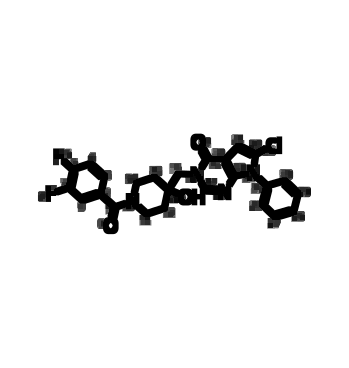 O=C(c1ccc(F)c(F)c1)N1CCC(O)(Cn2cnc3c(cc(Cl)n3-c3ccccc3)c2=O)CC1